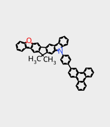 CC1(C)c2cc3c(cc2-c2cc4c5ccccc5n(-c5ccc(-c6ccc7c8ccccc8c8ccccc8c7c6)cc5)c4cc21)oc1ccccc13